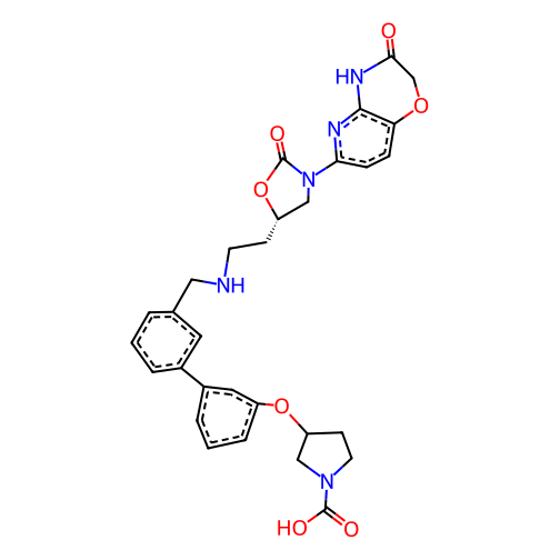 O=C1COc2ccc(N3C[C@H](CCNCc4cccc(-c5cccc(OC6CCN(C(=O)O)C6)c5)c4)OC3=O)nc2N1